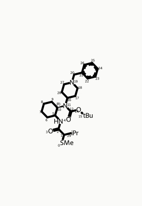 CSC(C(=O)NC1CCCC[C@H]1N(C(=O)OC(C)(C)C)C1CCN(Cc2ccccc2)CC1)C(C)C